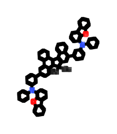 CC(C)(C)C1(C(C)(C)C)c2cc(-c3cccc(N(c4ccccc4)c4cccc5c4oc4ccccc45)c3)c3ccccc3c2-c2c1c1ccc(-c3cccc(N(c4ccccc4)c4cccc5c4oc4ccccc45)c3)cc1c1ccccc21